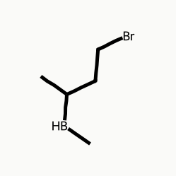 CBC(C)CCBr